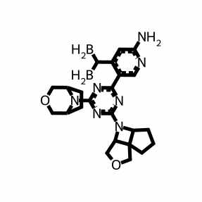 BC(B)c1cc(N)ncc1-c1nc(N2C3CCC2COC3)nc(N2C3CCCC34COCC24)n1